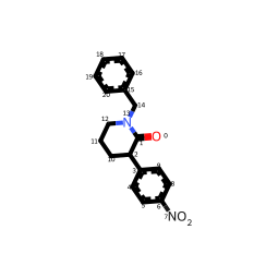 O=C1C(c2ccc([N+](=O)[O-])cc2)CCCN1Cc1ccccc1